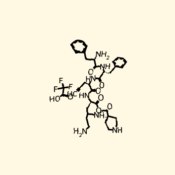 C#CC[C@@H](NC(=O)[C@@H](Cc1ccccc1)NC(=O)[C@H](N)Cc1ccccc1)C(=O)N[C@H](CC(N)CCN)C(=O)OC(=O)C1CCNCC1.O=C(O)C(F)(F)F